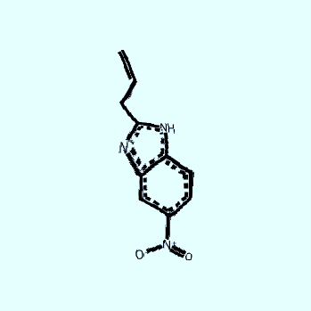 C=CCc1nc2cc([N+](=O)[O-])ccc2[nH]1